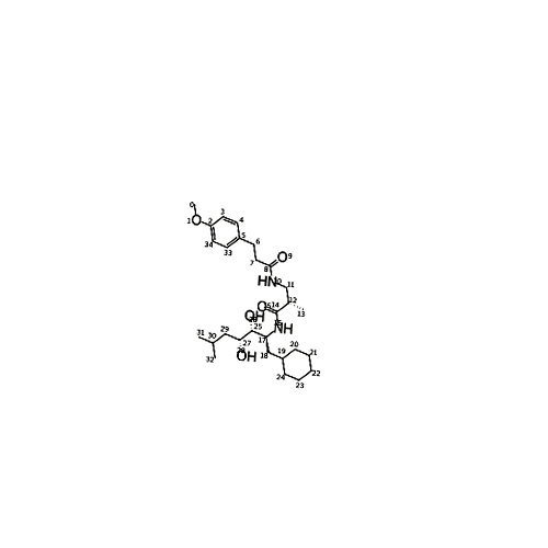 COc1ccc(CCC(=O)NC[C@H](C)C(=O)N[C@@H](CC2CCCCC2)[C@@H](O)[C@H](O)CC(C)C)cc1